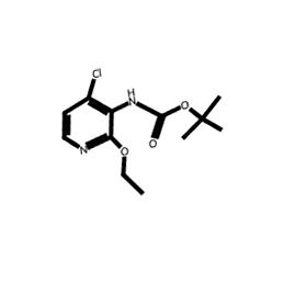 CCOc1nccc(Cl)c1NC(=O)OC(C)(C)C